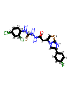 O=C(Cc1csc2nc(-c3ccc(F)cc3)cn12)NNC(=S)Nc1ccc(Cl)cc1Cl